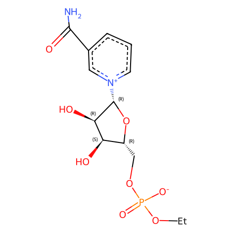 CCOP(=O)([O-])OC[C@H]1O[C@@H]([n+]2cccc(C(N)=O)c2)[C@H](O)[C@@H]1O